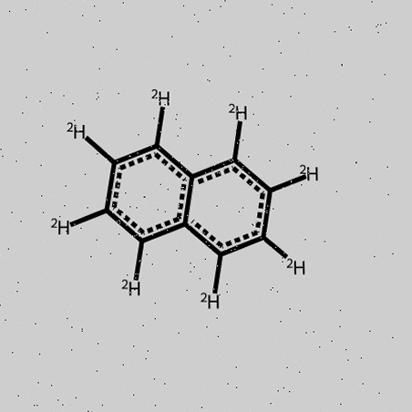 [2H]c1c([2H])c([2H])c2c([2H])c([2H])c([2H])c([2H])c2c1[2H]